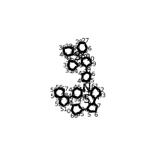 c1ccc(-c2cccc3c2sc2c(N(c4ccc(-c5cccc(S(c6ccccc6)(c6ccccc6)c6ccccc6)c5)cc4)c4ccc(-c5cccc6ccccc56)cc4)cccc23)cc1